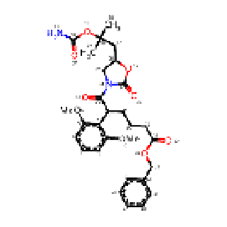 COc1cccc(OC)c1C(CCCC(=O)OCc1ccccc1)C(=O)N1CC(CC(C)(C)OC(N)=O)OC1=O